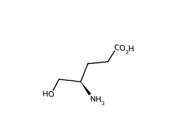 N[C@@H](CO)CCC(=O)O